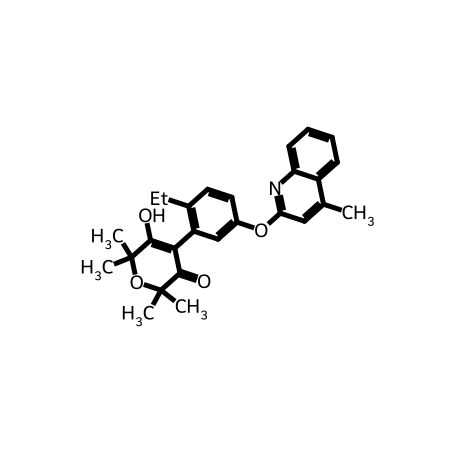 CCc1ccc(Oc2cc(C)c3ccccc3n2)cc1C1=C(O)C(C)(C)OC(C)(C)C1=O